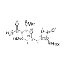 CCCCCCCCCCC[C@@H](C[C@@H]1OC(=O)[C@H]1CCCCCC)OC(CC(N)=O)OC